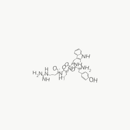 Cc1[nH]c2ccccc2c1C[C@@H](NC(=O)[C@@H](N)Cc1ccc(O)cc1)C(=O)N[C@@H](CC(C)C)C(=O)N[C@H]([C]=O)CCCNC(=N)N